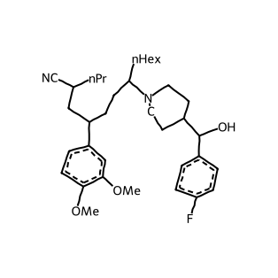 CCCCCCC(CCC(CC(C#N)CCC)c1ccc(OC)c(OC)c1)N1CCC(C(O)c2ccc(F)cc2)CC1